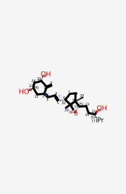 C=C1/C(=C\C=C\[C@@H]2CC[C@](C)([C@@H](C)CC[C@H](O)C(C)C)C2(C)C)C[C@@H](O)C[C@@H]1O